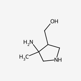 CC1(N)CNCC1CO